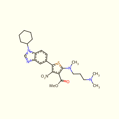 COC(=O)c1c(N(C)CCCN(C)C)sc(-c2ccc3c(c2)ncn3C2CCCCC2)c1[N+](=O)[O-]